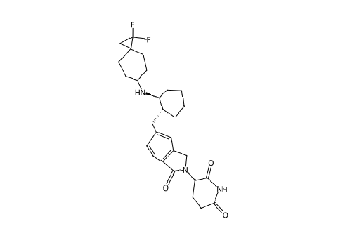 O=C1CCC(N2Cc3cc(C[C@H]4CCCC[C@@H]4NC4CCC5(CC4)CC5(F)F)ccc3C2=O)C(=O)N1